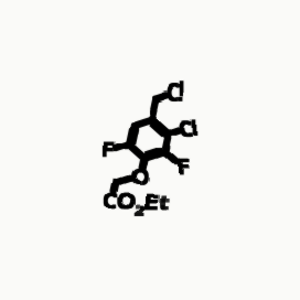 CCOC(=O)COc1c(F)cc(CCl)c(Cl)c1F